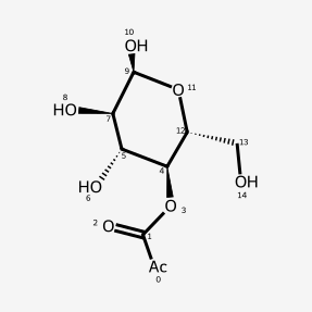 CC(=O)C(=O)O[C@H]1[C@H](O)[C@@H](O)[C@@H](O)O[C@@H]1CO